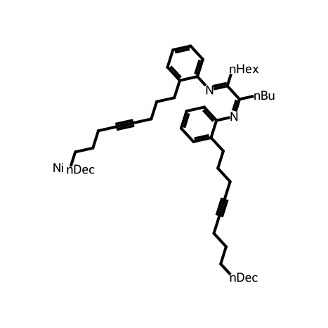 CCCCCCCCCCCCCC#CCCCc1ccccc1N=C(CCCC)C(CCCCCC)=Nc1ccccc1CCCC#CCCCCCCCCCCCCC.[Ni]